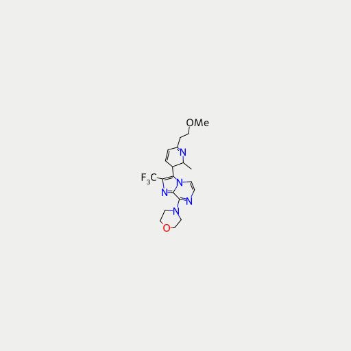 COCCC1=NC(C)C(c2c(C(F)(F)F)nc3c(N4CCOCC4)nccn23)C=C1